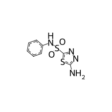 Nc1nnc(S(=O)(=O)Nc2ccccc2)s1